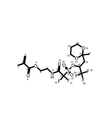 C=C(C)C(=O)OCCNC(=O)C(F)(F)S(=O)(=O)OC(CC1(C)OCCCO1)C(F)(F)F